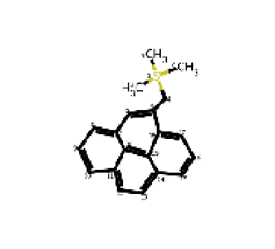 CS(C)(C)Cc1cc2cccc3ccc4cccc1c4c32